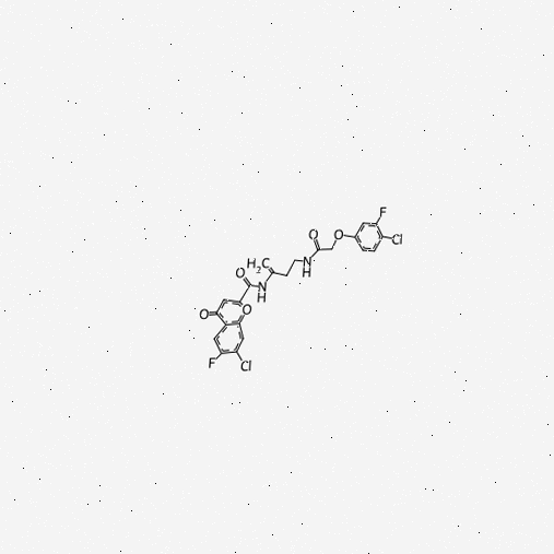 C=C(CCNC(=O)COc1ccc(Cl)c(F)c1)NC(=O)c1cc(=O)c2cc(F)c(Cl)cc2o1